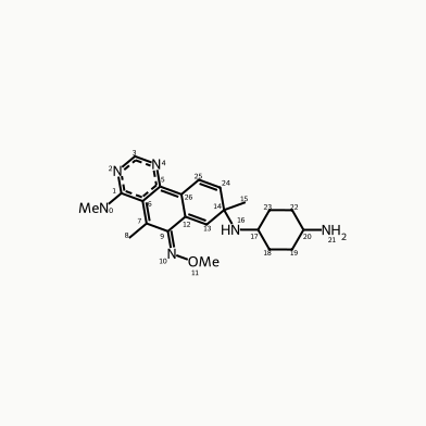 CNc1ncnc2c1=C(C)/C(=N/OC)C1=CC(C)(NC3CCC(N)CC3)C=CC=21